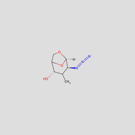 CC1[C@H](O)C2CO[C@H](O2)[C@H]1N=[N+]=[N-]